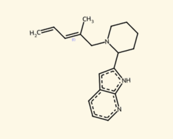 C=C/C=C(\C)CN1CCCCC1c1cc2cccnc2[nH]1